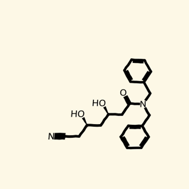 N#CC[C@@H](O)C[C@@H](O)CC(=O)N(Cc1ccccc1)Cc1ccccc1